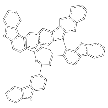 CC1=C(c2ccc3oc4ccccc4c3c2)N=C(c2ccc3oc4ccccc4c3c2)N=C(c2ccc3c(oc4ccccc43)c2-n2c3cc4ccccc4cc3c3cc4ccccc4cc32)C1